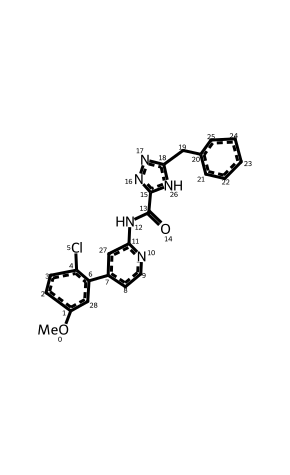 COc1ccc(Cl)c(-c2ccnc(NC(=O)c3nnc(Cc4ccccc4)[nH]3)c2)c1